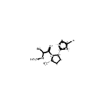 CCC(C)C(NC(=O)O)C(=O)N1[C@@H](C)CC[C@H]1c1ncc(I)[nH]1